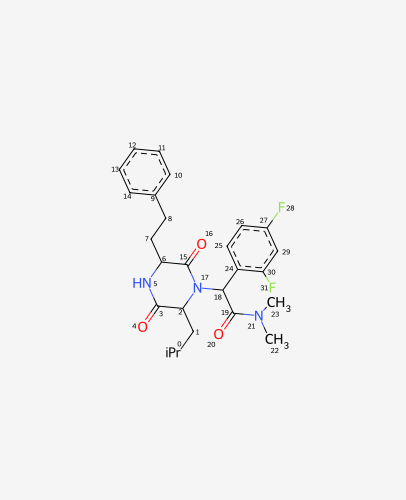 CC(C)CC1C(=O)NC(CCc2ccccc2)C(=O)N1C(C(=O)N(C)C)c1ccc(F)cc1F